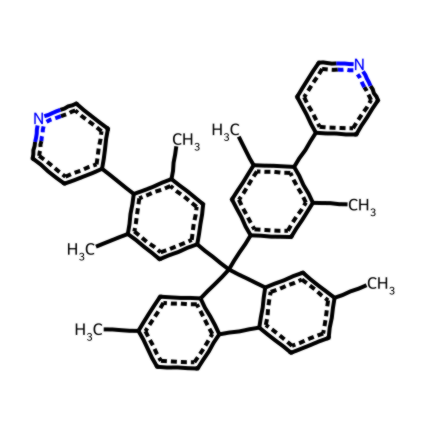 Cc1ccc2c(c1)C(c1cc(C)c(-c3ccncc3)c(C)c1)(c1cc(C)c(-c3ccncc3)c(C)c1)c1cc(C)ccc1-2